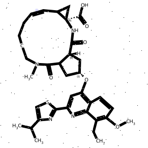 CCc1c(OC)ccc2c(O[C@@H]3CC4C(=O)N(C)CCCC/C=C\C5C[C@@]5(C(=O)O)NC(=O)[C@@H]4C3)cc(-c3nc(C(C)C)cs3)nc12